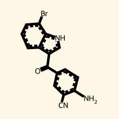 N#Cc1cc(C(=O)c2c[nH]c3c(Br)cccc23)ccc1N